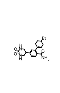 CCC1CC=C(c2cc(C3CNS(=O)(=O)NC3)ccc2C(N)=O)CC1